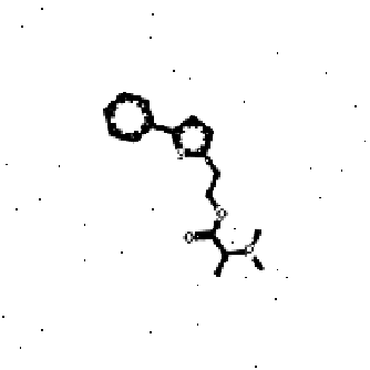 CC(C(=O)OCCc1ccc(-c2ccccc2)s1)P(C)C